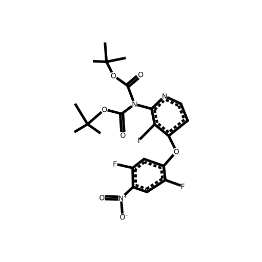 CC(C)(C)OC(=O)N(C(=O)OC(C)(C)C)c1nccc(Oc2cc(F)c([N+](=O)[O-])cc2F)c1I